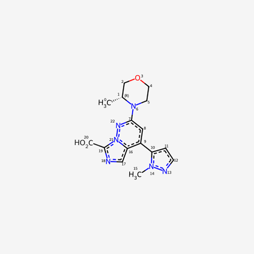 C[C@@H]1COCCN1c1cc(-c2ccnn2C)c2cnc(C(=O)O)n2n1